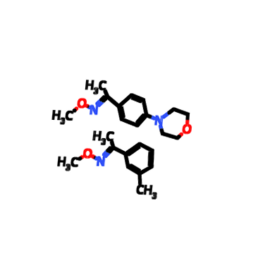 CON=C(C)c1ccc(N2CCOCC2)cc1.CON=C(C)c1cccc(C)c1